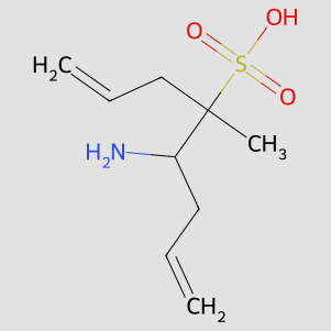 C=CCC(N)C(C)(CC=C)S(=O)(=O)O